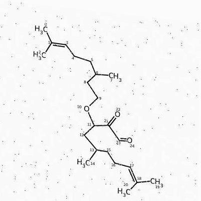 CC(C)=CCCC(C)CCOC(CC(C)CCC=C(C)C)C(=O)C=O